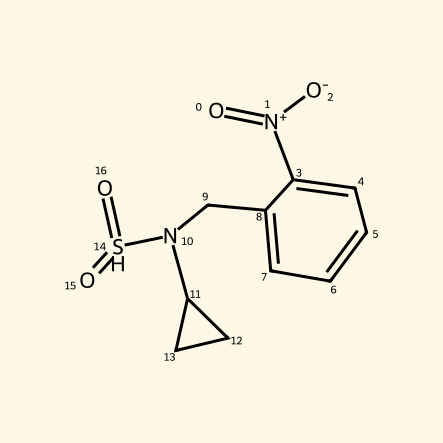 O=[N+]([O-])c1ccccc1CN(C1CC1)[SH](=O)=O